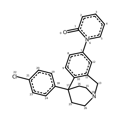 O=c1ccccn1-c1ccc2c(c1)CN1CCC2(c2ccc(Cl)cc2)CC1